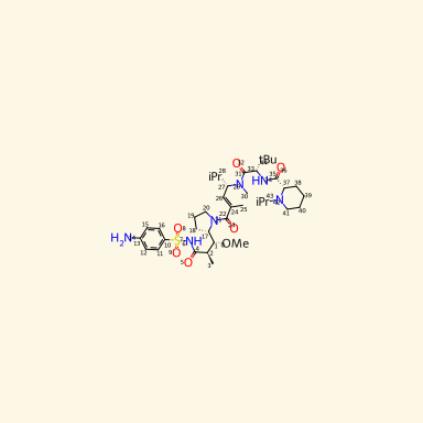 CO[C@H]([C@@H](C)C(=O)NS(=O)(=O)c1ccc(N)cc1)[C@@H]1CCCN1C(=O)/C(C)=C/[C@H](C(C)C)N(C)C(=O)[C@@H](NC(=O)[C@@H]1CCCCN1C(C)C)C(C)(C)C